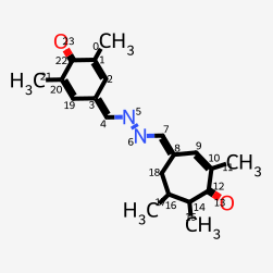 CC1=CC(=CN=N/C=C2/C=C(C)C(=O)C(C)C(C)C2)C=C(C)C1=O